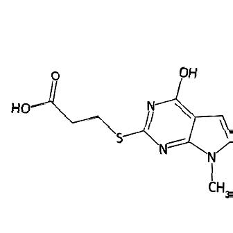 Cn1ccc2c(O)nc(SCCC(=O)O)nc21